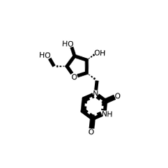 O=c1ccn(C[C@@H]2O[C@H](CO)C(O)[C@@H]2O)c(=O)[nH]1